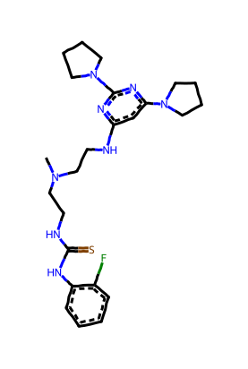 CN(CCNC(=S)Nc1ccccc1F)CCNc1cc(N2CCCC2)nc(N2CCCC2)n1